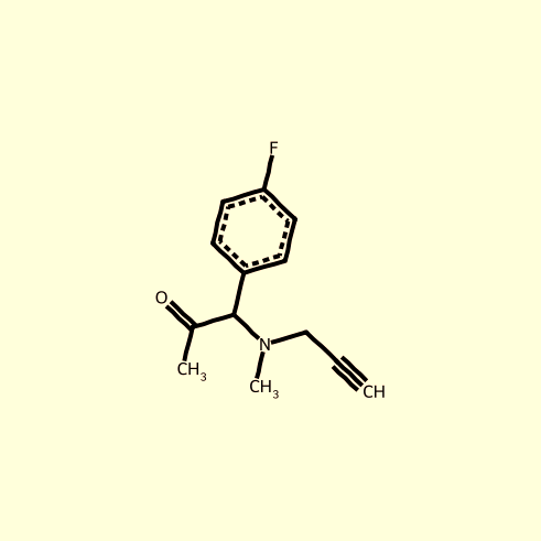 C#CCN(C)C(C(C)=O)c1ccc(F)cc1